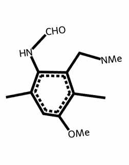 CNCc1c(C)c(OC)cc(C)c1NC=O